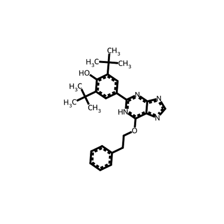 CC(C)(C)c1cc(-c2nc3ncnc-3c(OCCc3ccccc3)[nH]2)cc(C(C)(C)C)c1O